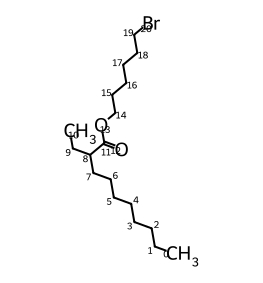 CCCCCCCCC(CC)C(=O)OCCCCCCBr